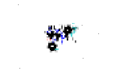 Cc1nc(N[C@H](C)c2cccc(C(F)(F)F)c2F)c2c(n1)C1(CCN(C)C1)C(=O)N(c1cccc(F)c1)C2